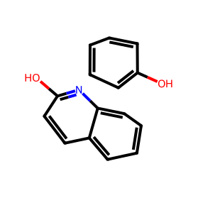 Oc1ccc2ccccc2n1.Oc1ccccc1